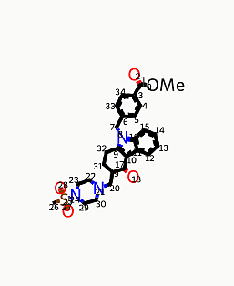 COC(=O)c1ccc(Cn2c3c(c4ccccc42)C(=O)C(CN2CCN(S(C)(=O)=O)CC2)CC3)cc1